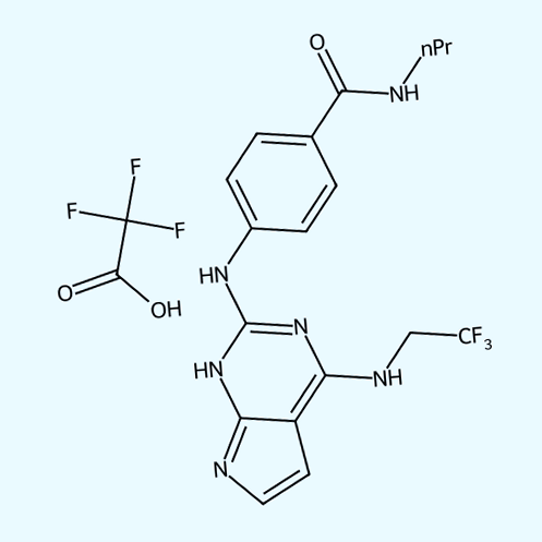 CCCNC(=O)c1ccc(Nc2nc(NCC(F)(F)F)c3ccnc-3[nH]2)cc1.O=C(O)C(F)(F)F